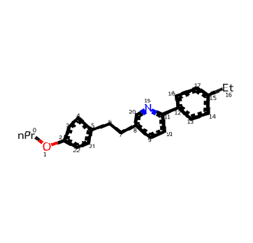 CCCOc1ccc(CCc2ccc(-c3ccc(CC)cc3)nc2)cc1